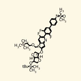 CC(C)(C)[Si](C)(C)OC1CO[C@H]2[C@@H]1OC[C@H]2Oc1cc2nc(-c3c(F)cc(-c4ccc(N=S(C)(C)=O)cc4)cc3F)c(F)cc2n1COCC[Si](C)(C)C